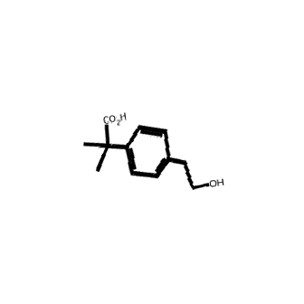 CC(C)(C(=O)O)c1ccc(CCO)cc1